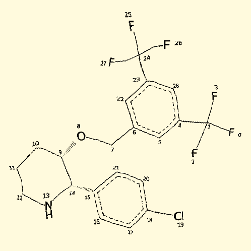 FC(F)(F)c1cc(CO[C@H]2CCCN[C@H]2c2ccc(Cl)cc2)cc(C(F)(F)F)c1